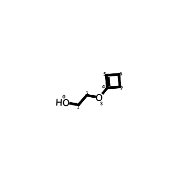 OCCOC1=CCC1